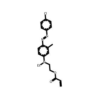 C=CC(=O)OCCN(CC)c1ccc(N=Nc2ccc(Cl)cc2)c(C)c1